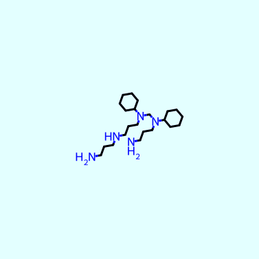 NCCCNCCCN(CN(CCCN)C1CCCCC1)C1CCCCC1